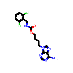 Nc1ncnc2c1ncn2CCCCOC(=O)NCc1c(Cl)cccc1Cl